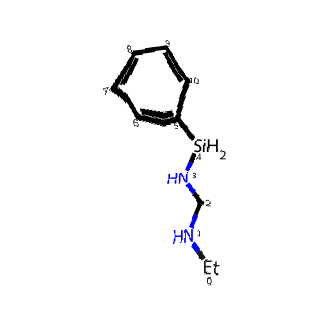 CCNCN[SiH2]c1ccccc1